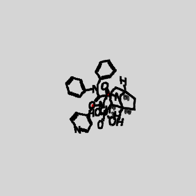 CN(Cc1ccncc1)C(=O)N1[C@H]2CC[C@@H]1[C@@H](P(=O)(O)O)N(C(=O)N(c1ccccc1)c1ccccc1)C2